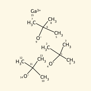 CC(C)(C)[O-].CC(C)(C)[O-].CC(C)(C)[O-].[Ga+3]